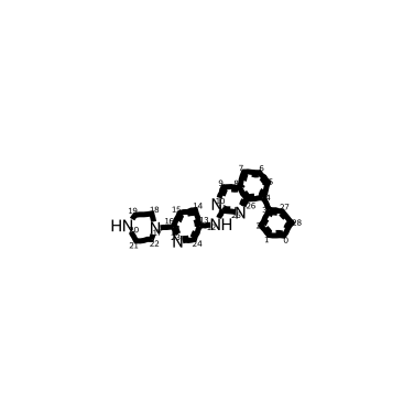 c1ccc(-c2cccc3cnc(Nc4ccc(N5CCNCC5)nc4)nc23)cc1